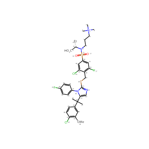 CC[C@@H](C(=O)O)N(CCC[N+](C)(C)C)S(=O)(=O)c1cc(F)c(CSc2ncc(C(C)(C)c3ccc(Cl)c(OC)c3)n2-c2ccc(F)cc2)c(Cl)c1